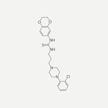 S=C(NCCCN1CCN(c2ccccc2Cl)CC1)Nc1ccc2c(c1)OCCO2